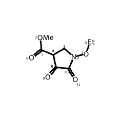 CCON1CC(C(=O)OC)C(=O)C1=O